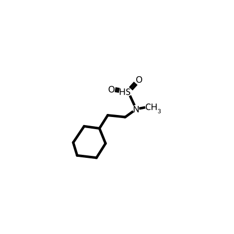 CN(CCC1CCCCC1)[SH](=O)=O